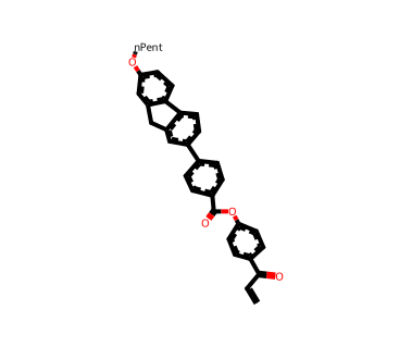 C=CC(=O)c1ccc(OC(=O)c2ccc(-c3ccc4c(c3)Cc3cc(OCCCCC)ccc3-4)cc2)cc1